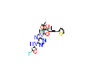 CC1(C)O[C@H]2[C@H](O1)[C@@H](C#Cc1cccs1)O[C@H]2n1cnc2c(NC3COC(F)C3)ncnc21